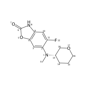 CN(c1cc2oc(=O)[nH]c2cc1F)[C@H]1CCCOC1